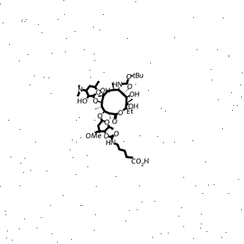 CC[C@H]1OC(=O)[C@H](C)[C@@H](OC2CC(C)(OC)C(OC(=O)NCCCCCC(=O)O)C(C)O2)[C@H](C)[C@@H](OC2OC(C)CC(N(C)C)C2O)[C@](C)(O)C[C@@H](C)[C@H](NC(=O)OC(C)(C)C)[C@H](C)[C@@H](O)[C@]1(C)O